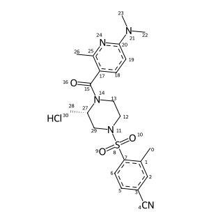 Cc1cc(C#N)ccc1S(=O)(=O)N1CCN(C(=O)c2ccc(N(C)C)nc2C)[C@@H](C)C1.Cl